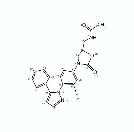 CC(=O)NCC1CN(c2ccc(-n3nccc3-c3ccncc3)c(F)c2)C(=O)O1